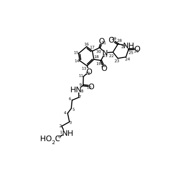 O=C(O)NCCCCCCNC(=O)COc1cccc2c1C(=O)N(C1CCC(=O)NC1=O)C2=O